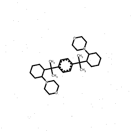 CC(C)(c1ccc(C(C)(C)C2CCCC[C]2N2CCOCC2)cc1)C1CCCC[C]1N1CCOCC1